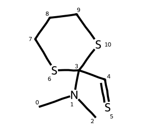 CN(C)C1(C=S)SCCCS1